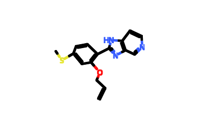 C=CCOc1cc(SC)ccc1-c1nc2cnccc2[nH]1